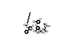 CCCCCCCCSC(=O)Oc1cc(Cl)nnc1-c1ccccc1.COC(=O)c1cc(Oc2ccc(Cl)cc2Cl)ccc1[N+](=O)[O-].CP(=O)(O)CCC(N)C(=O)O